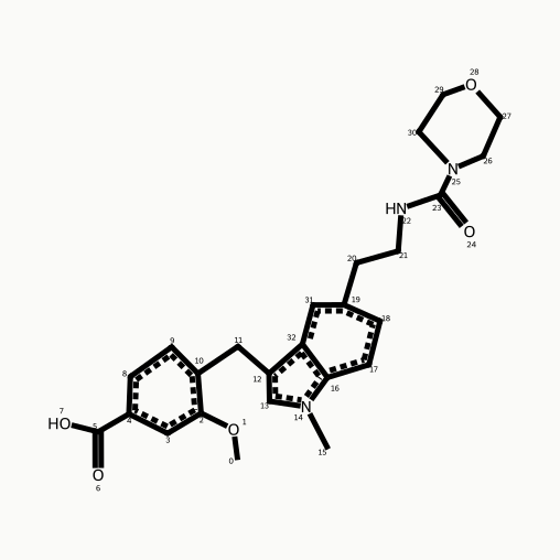 COc1cc(C(=O)O)ccc1Cc1cn(C)c2ccc(CCNC(=O)N3CCOCC3)cc12